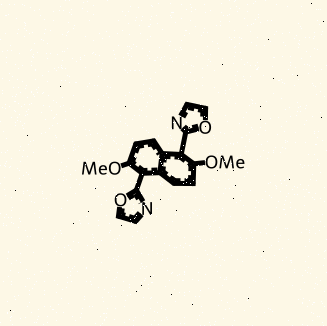 COc1ccc2c(-c3ncco3)c(OC)ccc2c1-c1ncco1